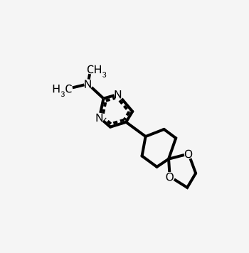 CN(C)c1ncc(C2CCC3(CC2)OCCO3)cn1